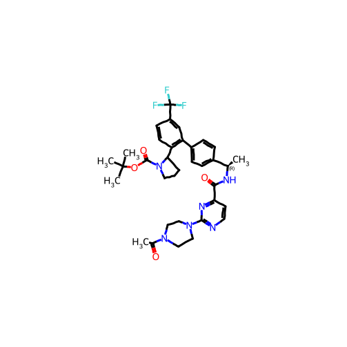 CC(=O)N1CCN(c2nccc(C(=O)N[C@H](C)c3ccc(-c4cc(C(F)(F)F)ccc4C4CCCN4C(=O)OC(C)(C)C)cc3)n2)CC1